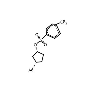 CC(=O)[C@H]1CC[C@@H](OS(=O)(=O)c2ccc(C(F)(F)F)cc2)C1